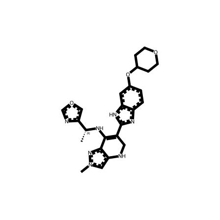 C[C@@H](NC1=C(c2nc3ccc(OC4CCOCC4)cc3[nH]2)CNc2cn(C)nc21)c1cocn1